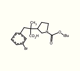 CC(C)(C)OC(=O)N1CCC(C(C)(Cc2cccc(Br)c2)C(=O)O)C1